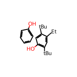 CCc1cc(C(C)(C)C)c(O)cc1C(C)(C)C.Oc1ccccc1